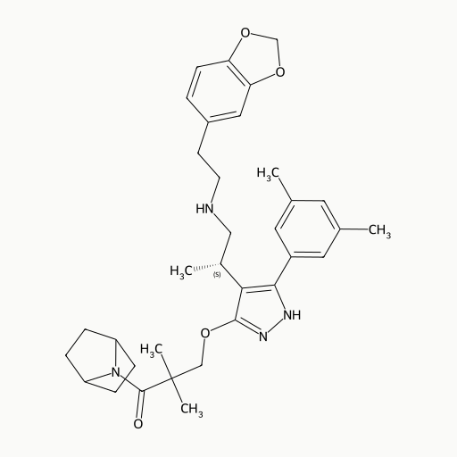 Cc1cc(C)cc(-c2[nH]nc(OCC(C)(C)C(=O)N3C4CCC3CC4)c2[C@H](C)CNCCc2ccc3c(c2)OCO3)c1